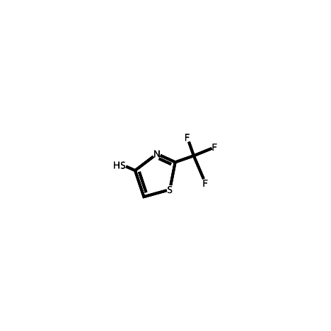 FC(F)(F)c1nc(S)cs1